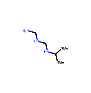 CNC(NC)NCNCN